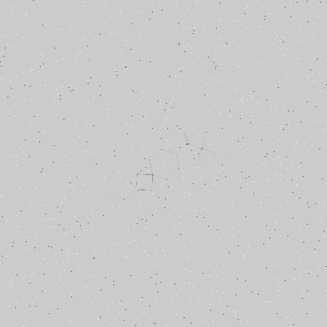 CCN1CC2(CCN(C(=O)C(C)(C)C)CC2)C1